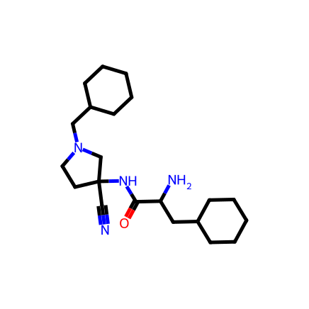 N#CC1(NC(=O)C(N)CC2CCCCC2)CCN(CC2CCCCC2)C1